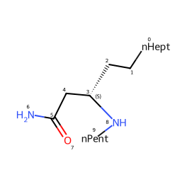 CCCCCCCCC[C@@H](CC(N)=O)NCCCCC